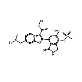 CCN(CC)Cc1ccc2c(c1)cc(-c1cc(OC)c(OS(C)(=O)=O)c3c1C(=O)NC3)n2C(=O)OC(C)(C)C